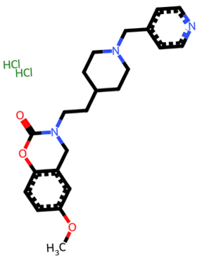 COc1ccc2c(c1)CN(CCC1CCN(Cc3ccncc3)CC1)C(=O)O2.Cl.Cl